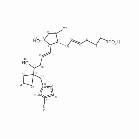 O=C(O)CCCC=CC[C@H]1C(F)C[C@@H](O)[C@@H]1/C=C/CC(O)C1(Cc2ccc(Cl)s2)CCC1